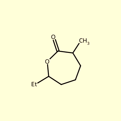 CCC1CCCC(C)C(=O)O1